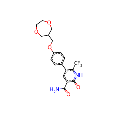 NC(=O)c1cc(-c2ccc(OCC3COCCOC3)cc2)c(C(F)(F)F)[nH]c1=O